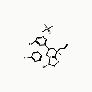 C=CC[C@@]1(C)C[C@H](c2cncc(Cl)c2)[C@@H](c2ccc(Cl)cc2)[N+]2=C1OC[C@@H]2CC.CS(=O)(=O)[O-]